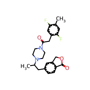 Cc1cc(F)c(CC(=O)N2CCN(C(C)Cc3ccc4c(c3)COC4=O)CC2)cc1F